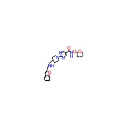 O=C(NOC1CCCCO1)c1cnc(N2CCC(CNCc3cc4ccccc4o3)CC2)nc1